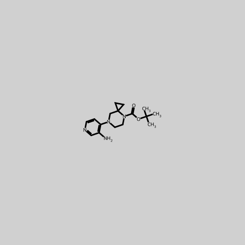 CC(C)(C)OC(=O)N1CCN(c2ccncc2N)CC12CC2